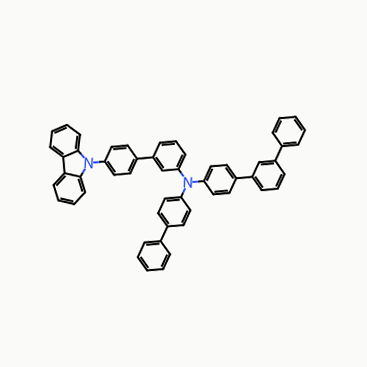 c1ccc(-c2ccc(N(c3ccc(-c4cccc(-c5ccccc5)c4)cc3)c3cccc(-c4ccc(-n5c6ccccc6c6ccccc65)cc4)c3)cc2)cc1